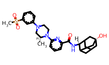 C[C@@H]1CN(c2cccc(S(C)(=O)=O)c2)CCN1c1cccc(C(=O)N[C@H]2C3CC4CC2C[C@](O)(C4)C3)n1